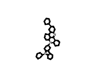 c1ccc(-c2ccc3nc4c5c(cccc5c3c2)N(c2ccc3c(c2)c2ccccc2n3-c2ccccc2)c2ccccc2-4)cc1